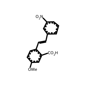 COc1ccc(C=Cc2cccc([N+](=O)[O-])c2)c(C(=O)O)c1